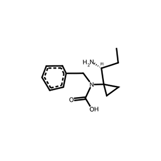 CC[C@@H](N)C1(N(Cc2ccccc2)C(=O)O)CC1